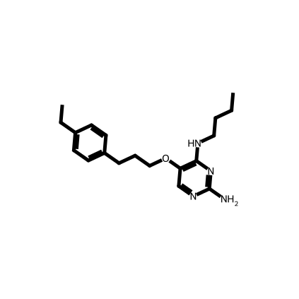 CCCCNc1nc(N)ncc1OCCCc1ccc(CC)cc1